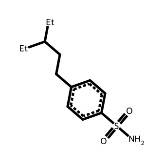 CCC(CC)CCc1ccc(S(N)(=O)=O)cc1